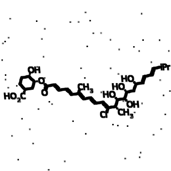 CC(/C=C/C=C/C(=O)O[C@@H]1C[C@@H](C(=O)O)CC[C@@H]1O)=C\C=C\C=C(/Cl)[C@@H](C)[C@@H](O)[C@H](O)[C@H](O)C[C@@H](O)/C=C/C=C/C(C)C